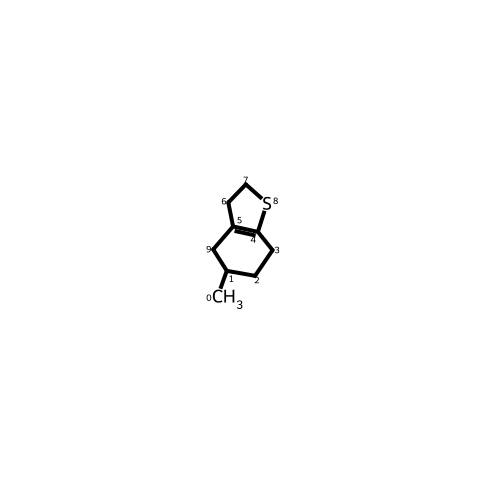 CC1CCC2=C(CCS2)C1